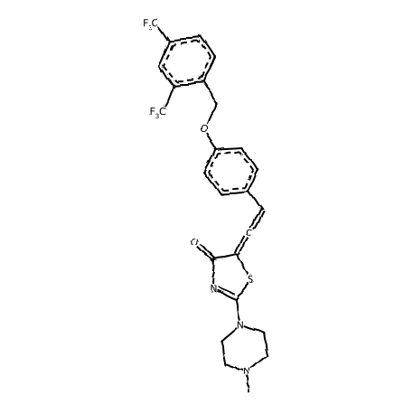 CN1CCN(C2=NC(=O)C(=C=Cc3ccc(OCc4ccc(C(F)(F)F)cc4C(F)(F)F)cc3)S2)CC1